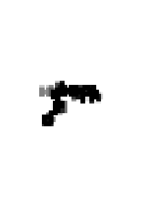 C[C@H](O)CN1CCN(c2ccc(-c3cnc4[nH]cc(-c5cnn(CCc6ccccc6)c5)c4c3)cn2)CC1